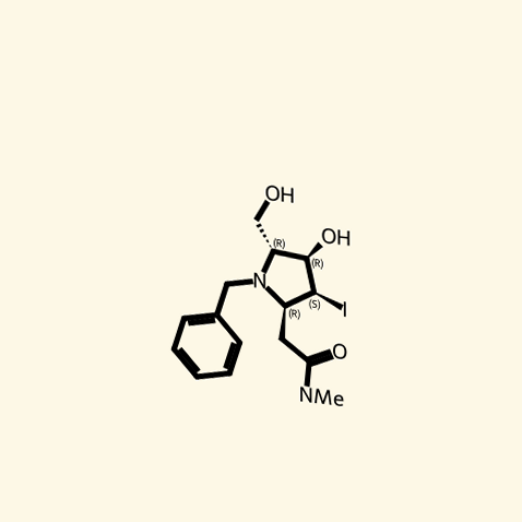 CNC(=O)C[C@@H]1[C@H](I)[C@H](O)[C@@H](CO)N1Cc1ccccc1